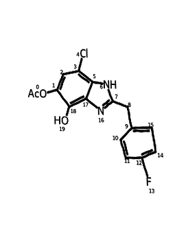 CC(=O)Oc1cc(Cl)c2[nH]c(Cc3ccc(F)cc3)nc2c1O